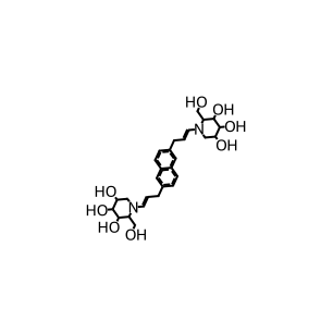 OCC1C(O)C(O)C(O)CN1C=CCc1ccc2cc(CC=CN3CC(O)C(O)C(O)C3CO)ccc2c1